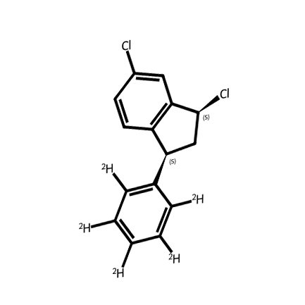 [2H]c1c([2H])c([2H])c([C@@H]2C[C@H](Cl)c3cc(Cl)ccc32)c([2H])c1[2H]